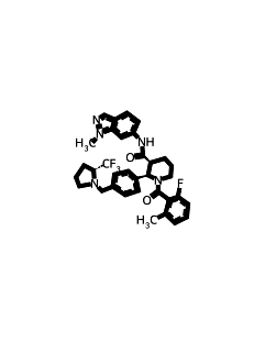 Cc1cccc(F)c1C(=O)N1CCC[C@H](C(=O)Nc2ccc3cnn(C)c3c2)[C@@H]1c1ccc(CN2CCC[C@@H]2C(F)(F)F)cc1